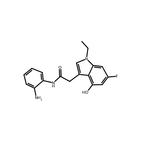 CCn1cc(CC(=O)Nc2ccccc2N)c2c(O)cc(F)cc21